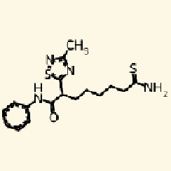 Cc1nsc(C(CCCCCC(N)=S)C(=O)Nc2ccccc2)n1